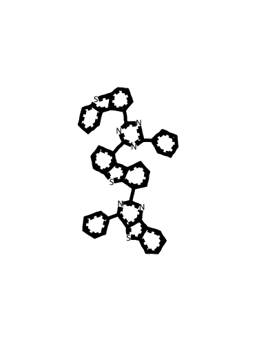 c1ccc(-c2nc(-c3cccc4sc5ccccc5c34)nc(-c3cccc4sc5c(-c6nc(-c7ccccc7)c7sc8ccccc8c7n6)cccc5c34)n2)cc1